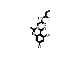 CCC(=O)NC(=O)Cn1c(C)nc2cc(Cl)cc(O)c2c1=O